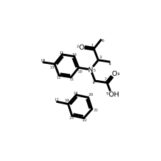 CC(=O)C(C)N(CC(=O)O)c1ccc(C)cc1.Cc1ccccc1